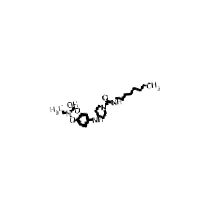 CCCCCCCCNC(=O)N1CCC(Nc2ccc(ON(CC)C(=O)O)cc2)CC1